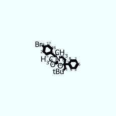 CC(C)(C)CC1(c2ccccc2)CCN(C(C)(C)c2ccc(Br)cc2)C(=O)O1